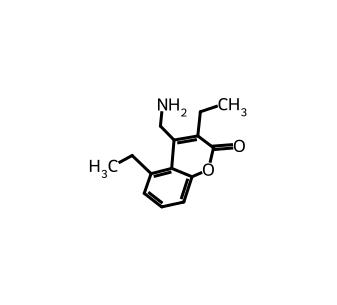 CCc1c(CN)c2c(CC)cccc2oc1=O